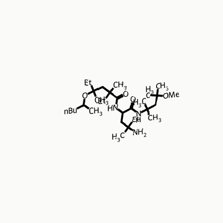 CCCCC(C)OC(C)(CC)CC(C)(CC)C(=O)NC(CC(C)(N)CC)C(=O)NC(C)(C)CC(C)(C)OC